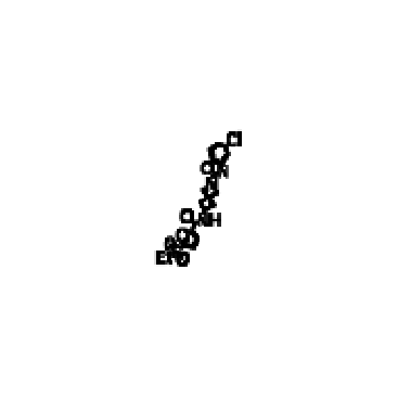 CCS(=O)(=O)c1ccc(C(=O)NC2CC3(C2)CN(c2nc4cc(Cl)ccc4o2)C3)o1